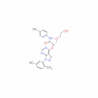 Cc1ccc(C#N)cc1-n1ncc2c(O[C@@H](COCCO)C(=O)Nc3ccc(C#N)cn3)ncnc21